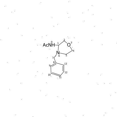 CC(=O)NC1COCCN1Cc1cc[c]cc1